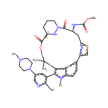 CCCN1CCN(c2cnc(C(C)C)c(-c3c4c5cc(ccc5n3CC)-c3csc(n3)C[C@H](NC(=O)OC(C)(C)C)C(=O)N3CCC[C@H](N3)C(=O)OCC(C)(C)C4)c2)CC1